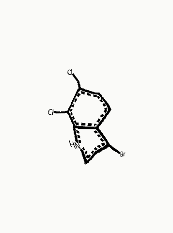 Clc1ccc2c(Br)c[nH]c2c1Cl